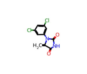 C=C1C(=O)NC(=O)N1c1cc(Cl)cc(Cl)c1